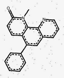 Cn1c(=O)ccc2c(-c3ccccc3)cc3cccnc3c21